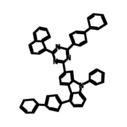 C1=CCCC(c2ccc(-c3cccc4c3c3ccc(-c5nc(-c6ccc(-c7ccccc7)cc6)nc(-c6cccc7ccccc67)n5)cc3n4-c3ccccc3)cc2)=C1